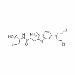 CC(C)CC(NC(=O)C(N)Cc1nc2cc(N(CCCl)CCCl)ccc2n1C)C(=O)O